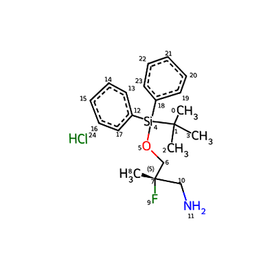 CC(C)(C)[Si](OC[C@@](C)(F)CN)(c1ccccc1)c1ccccc1.Cl